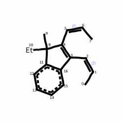 C/C=C\C1=C(/C=C\C)C(C)(CC)c2ccccc21